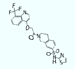 O=C(COc1ccnc2c(C(F)(F)F)cccc12)N1CCc2ccc(S(=O)(=O)Nc3nccs3)cc2C1